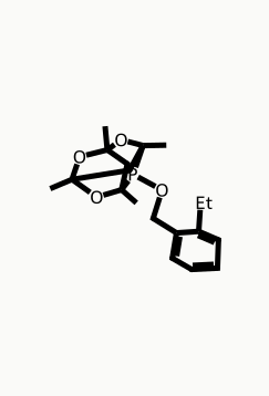 CCc1ccccc1COP1C2(C)CC3(C)OC(C)(CC1(C)O3)O2